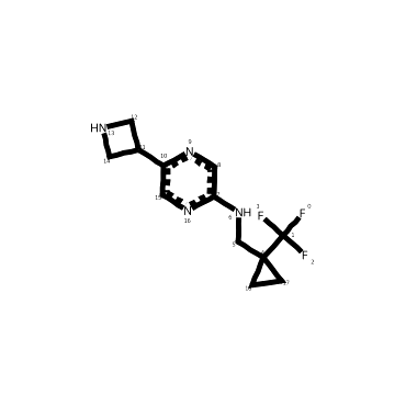 FC(F)(F)C1(CNc2cnc(C3CNC3)cn2)CC1